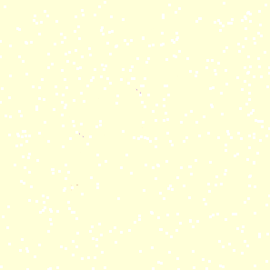 C=C(/C=C1\C(=C/C)N2B(c3ccccc31)c1cccc3c1-c1c2cccc1N1B3c2ccccc2-c2cc(-c3ccccc3)ccc21)c1ccccc1